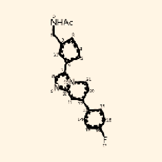 CC(=O)NCc1cccc(-c2cnc3cc(-c4ccc(F)cc4)ccn23)c1